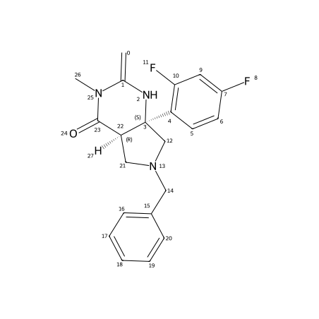 C=C1N[C@@]2(c3ccc(F)cc3F)CN(Cc3ccccc3)C[C@H]2C(=O)N1C